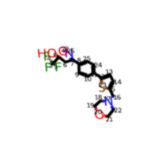 OC1(C(F)(F)F)CC(c2ccc(-c3ccc(CN4CCOCC4)s3)cc2)=NO1